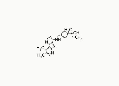 CCC(C)(O)c1ccc(CNc2ncnc3c2sc2nnc(C)c(C)c23)cc1